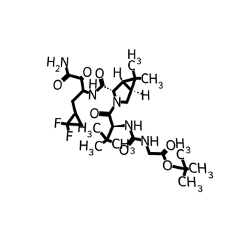 CC(C)(C)OC(=O)CNC(=O)N[C@H](C(=O)N1C[C@H]2[C@@H]([C@H]1C(=O)NC(CC1CC1(F)F)C(=O)C(N)=O)C2(C)C)C(C)(C)C